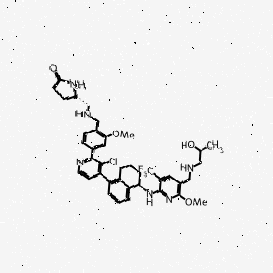 COc1cc(-c2nccc(-c3cccc4c3CCC[C@H]4Nc3nc(OC)c(CNC[C@H](C)O)cc3C(F)(F)F)c2Cl)ccc1CNC[C@@H]1CCC(=O)N1